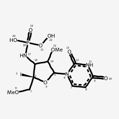 COC[C@@]1(I)OC(n2ccc(=O)[nH]c2=O)C(OC)C1NP(=O)(O)OO